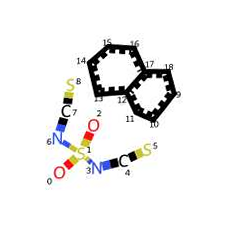 O=S(=O)(N=C=S)N=C=S.c1ccc2ccccc2c1